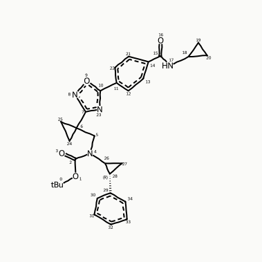 CC(C)(C)OC(=O)N(CC1(c2noc(-c3ccc(C(=O)NC4CC4)cc3)n2)CC1)C1C[C@@H]1c1ccccc1